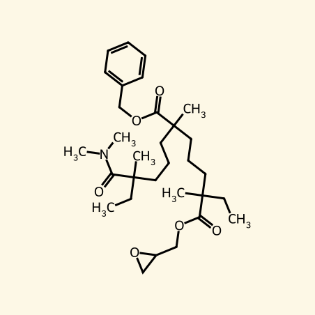 CCC(C)(CCCC(C)(CCCC(C)(CC)C(=O)N(C)C)C(=O)OCc1ccccc1)C(=O)OCC1CO1